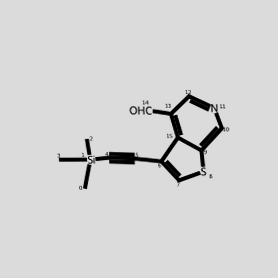 C[Si](C)(C)C#Cc1csc2cncc(C=O)c12